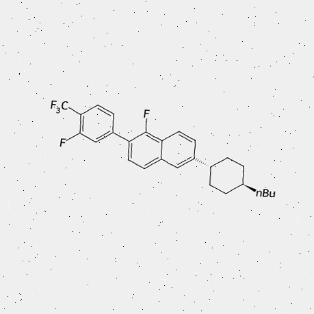 CCCC[C@H]1CC[C@H](c2ccc3c(F)c(-c4ccc(C(F)(F)F)c(F)c4)ccc3c2)CC1